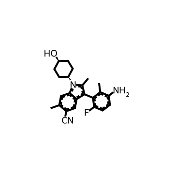 Cc1cc2c(cc1C#N)c(-c1c(F)ccc(N)c1C)c(C)n2[C@H]1CC[C@H](O)CC1